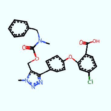 CN(Cc1ccccc1)C(=O)OCc1c(-c2ccc(Oc3cc(Cl)ccc3C(=O)O)cc2)nnn1C